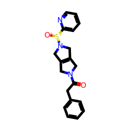 O=C(Cc1ccccc1)N1CC2=C(C1)CN([S+]([O-])c1ccccn1)C2